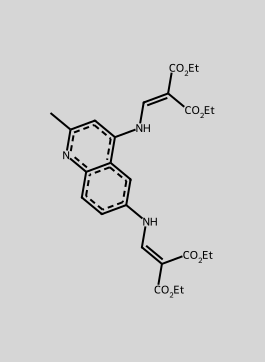 CCOC(=O)C(=CNc1ccc2nc(C)cc(NC=C(C(=O)OCC)C(=O)OCC)c2c1)C(=O)OCC